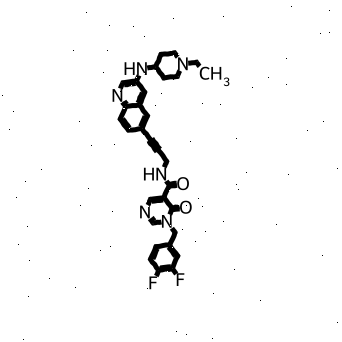 CCN1CCC(Nc2cnc3ccc(C#CCNC(=O)c4cncn(Cc5ccc(F)c(F)c5)c4=O)cc3c2)CC1